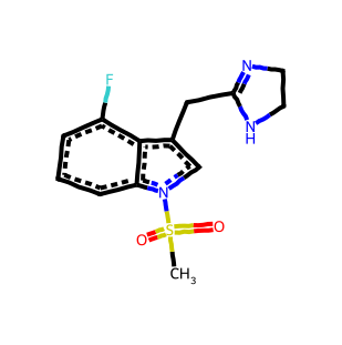 CS(=O)(=O)n1cc(CC2=NCCN2)c2c(F)cccc21